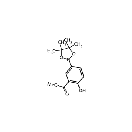 COC(=O)c1cc(B2OC(C)(C)C(C)(C)O2)ccc1O